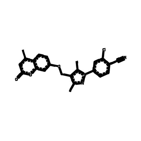 Cc1nn(-c2ccc(C#N)c(Cl)c2)c(C)c1COc1ccc2c(C)cc(=O)oc2c1